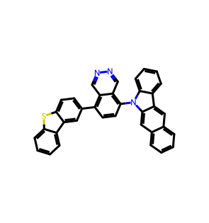 c1ccc2cc3c(cc2c1)c1ccccc1n3-c1ccc(-c2ccc3sc4ccccc4c3c2)c2cnncc12